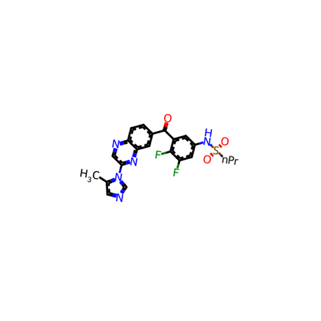 CCCS(=O)(=O)Nc1cc(F)c(F)c(C(=O)c2ccc3ncc(-n4cncc4C)nc3c2)c1